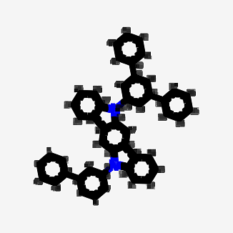 c1ccc(-c2cccc(-n3c4ccccc4c4cc5c(cc43)c3ccccc3n5-c3cc(-c4ccccc4)cc(-c4ccccc4)c3)c2)cc1